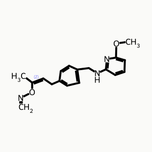 C=NO/C(C)=C\Cc1ccc(CNc2cccc(OC)n2)cc1